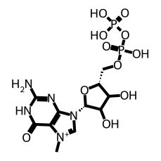 C[n+]1cn([C@@H]2O[C@H](COP(=O)(O)OP(=O)(O)O)C(O)C2O)c2nc(N)[nH]c(=O)c21